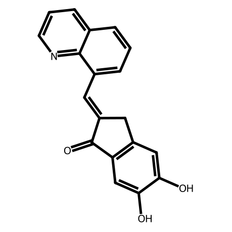 O=C1/C(=C/c2cccc3cccnc23)Cc2cc(O)c(O)cc21